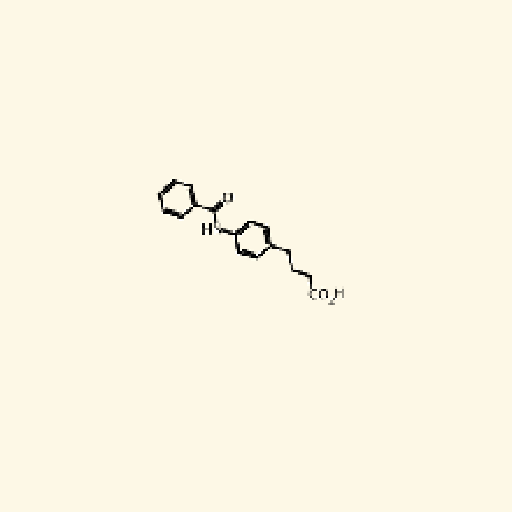 O=C(O)CCCc1ccc(NC(=O)c2ccccc2)cc1